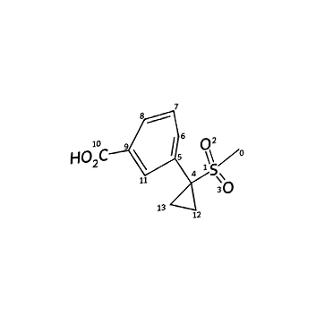 CS(=O)(=O)C1(c2cccc(C(=O)O)c2)CC1